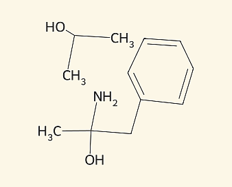 CC(C)O.CC(N)(O)Cc1ccccc1